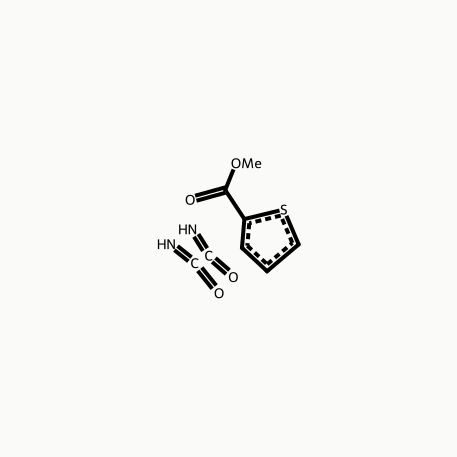 COC(=O)c1cccs1.N=C=O.N=C=O